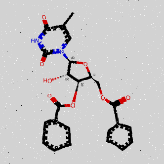 Cc1cn([C@H]2O[C@@H](COC(=O)c3ccccc3)[C@@H](OC(=O)c3ccccc3)[C@@H]2O)c(=O)[nH]c1=O